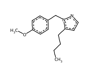 CCCCc1ccnn1Cc1ccc(OC)cc1